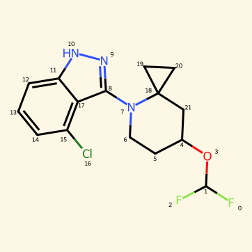 FC(F)OC1CCN(c2n[nH]c3cccc(Cl)c23)C2(CC2)C1